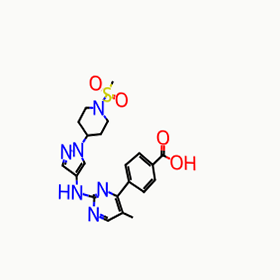 Cc1cnc(Nc2cnn(C3CCN(S(C)(=O)=O)CC3)c2)nc1-c1ccc(C(=O)O)cc1